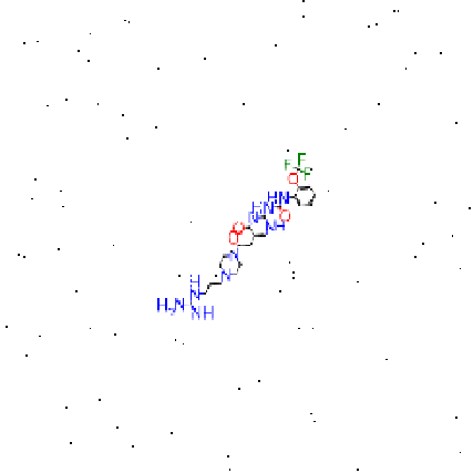 N=C(N)NCCCN1CCN(C(=O)Cc2c[nH]c(NC(=O)Nc3ccccc3OC(F)(F)F)nc2=O)CC1